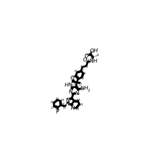 C[C@H](NC(=O)CCc1ccc(C2(C)C(=O)Nc3nc(-c4nn(Cc5ccccc5F)c5ncccc45)nc(N)c32)cc1)C(=O)O